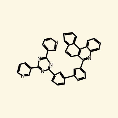 c1cncc(-c2nc(-c3cccnc3)nc(-c3cccc(-c4cccc(-c5nc6ccccc6c6c5ccc5ccccc56)c4)c3)n2)c1